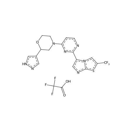 FC(F)(F)c1cn2c(-c3nccc(N4CCOC(c5cn[nH]c5)C4)n3)cnc2s1.O=C(O)C(F)(F)F